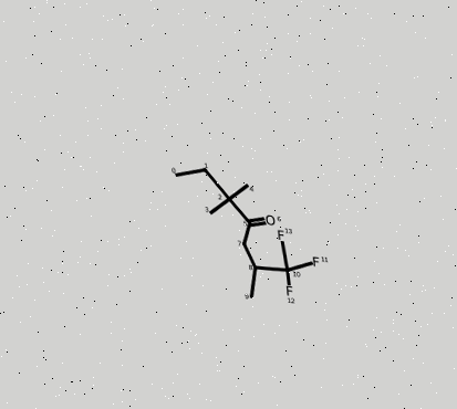 CCC(C)(C)C(=O)CC(C)C(F)(F)F